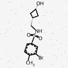 Cc1ccc(S(=O)(=O)NC[C@H]2C[C@@H](O)C2)cc1Br